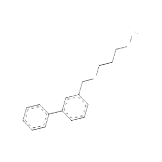 N#CSCCCOCc1cccc(-c2ccccc2)c1